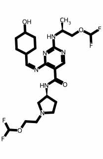 C[C@@H](COC(F)F)Nc1ncc(C(=O)N[C@H]2CCN(CCOC(F)F)C2)c(/N=C\C2CCC(O)CC2)n1